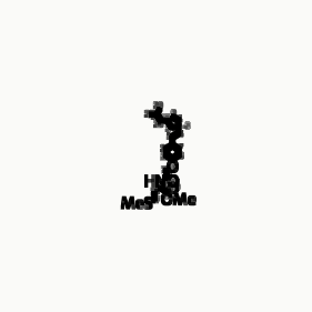 C=C[C@@](C)(/C=C/c1ccc(OCC(=O)N[C@@H](CCSC)C(=O)OC)cc1)CCC=C(C)C